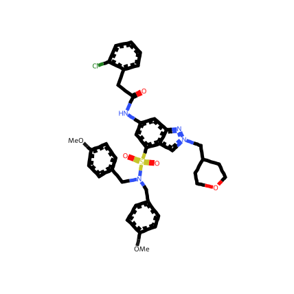 COc1ccc(CN(Cc2ccc(OC)cc2)S(=O)(=O)c2cc(NC(=O)Cc3ccccc3Cl)cc3nn(CC4CCOCC4)cc23)cc1